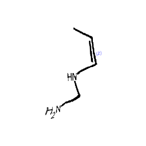 C/C=C\NCN